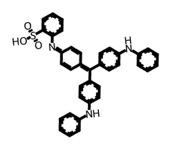 O=S(=O)(O)c1ccccc1N=C1C=CC(=C(c2ccc(Nc3ccccc3)cc2)c2ccc(Nc3ccccc3)cc2)C=C1